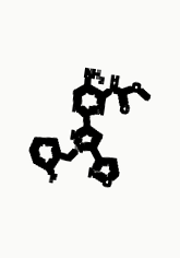 COC(=O)Nc1nc(-c2cc(-c3ccon3)n(Cc3ccccc3F)n2)ncc1N